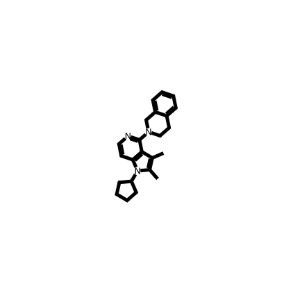 Cc1c(C)n(C2CCCC2)c2ccnc(N3CCc4ccccc4C3)c12